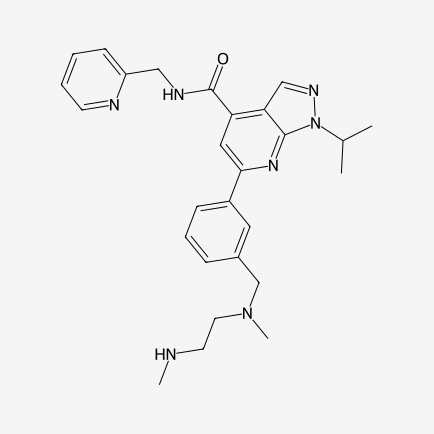 CNCCN(C)Cc1cccc(-c2cc(C(=O)NCc3ccccn3)c3cnn(C(C)C)c3n2)c1